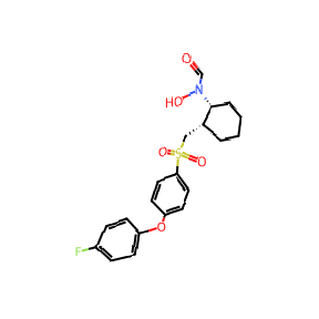 O=CN(O)[C@@H]1CCCC[C@@H]1CS(=O)(=O)c1ccc(Oc2ccc(F)cc2)cc1